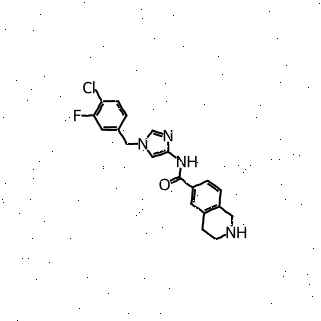 O=C(Nc1cn(Cc2ccc(Cl)c(F)c2)cn1)c1ccc2c(c1)CCNC2